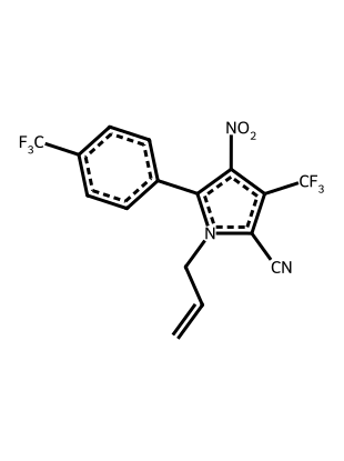 C=CCn1c(C#N)c(C(F)(F)F)c([N+](=O)[O-])c1-c1ccc(C(F)(F)F)cc1